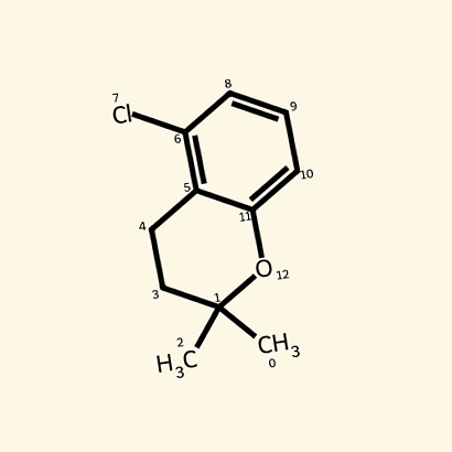 CC1(C)CCc2c(Cl)cccc2O1